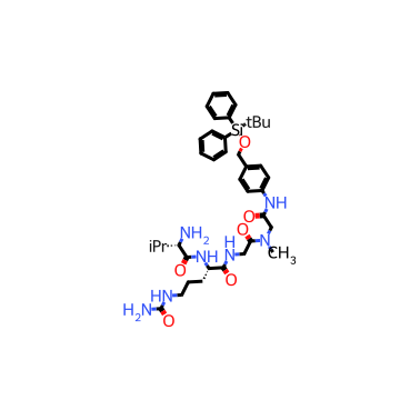 CC(C)[C@H](N)C(=O)N[C@@H](CCCNC(N)=O)C(=O)NCC(=O)N(C)CC(=O)Nc1ccc(CO[Si](c2ccccc2)(c2ccccc2)C(C)(C)C)cc1